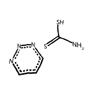 NC(=S)S.c1cnnnc1